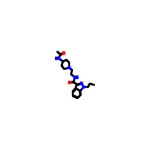 CCCn1nc(C(=O)NCCN2CCC(NC(C)=O)CC2)c2ccccc21